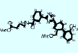 COCc1cc(-c2nc(-c3cccc(C(=O)NCCCC(=O)OC)c3)no2)ccc1-c1ccccc1C